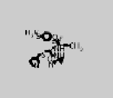 CC#C[C@H](NC[C@@H](CSCc1cccnc1)C(=O)NC1(C#N)CC1)C(F)(F)Oc1ccc(SC)cc1